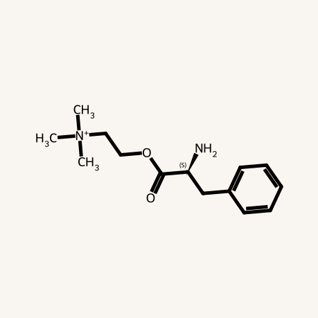 C[N+](C)(C)CCOC(=O)[C@@H](N)Cc1ccccc1